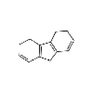 [CH]1C2=C(CCC=C2)C2=C1C=CCC2